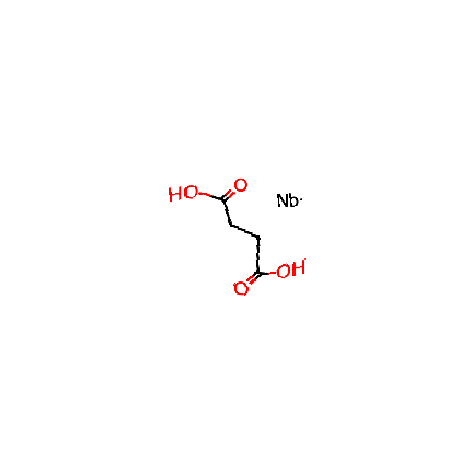 O=C(O)CCC(=O)O.[Nb]